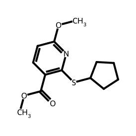 COC(=O)c1ccc(OC)nc1SC1CCCC1